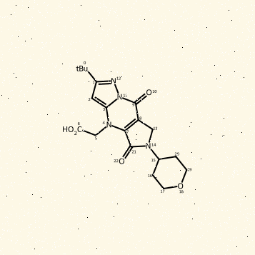 CC(C)(C)c1cc2n(CC(=O)O)c3c(c(=O)n2n1)CN(C1CCOCC1)C3=O